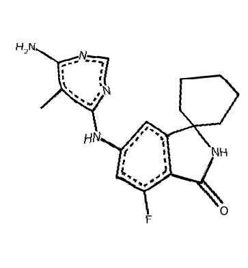 Cc1c(N)ncnc1Nc1cc(F)c2c(c1)C1(CCCCC1)NC2=O